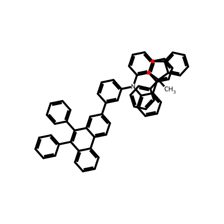 CC1(c2ccccc2)c2ccccc2-c2cccc(N(c3cccc(-c4ccc5c(c4)c(-c4ccccc4)c(-c4ccccc4)c4ccccc45)c3)c3ccccc3-c3ccccc3)c21